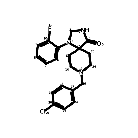 O=C1NCN(c2ccccc2F)C12CCN(Cc1ccc(Cl)cc1)CC2